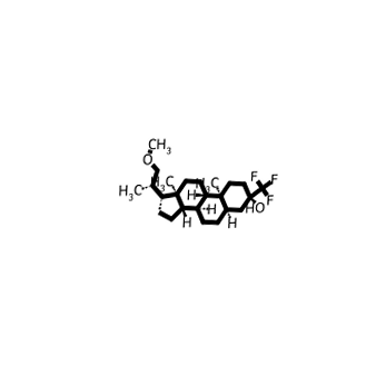 COC[C@@H](C)[C@H]1CC[C@H]2[C@@H]3CC[C@@H]4C[C@@](O)(C(F)(F)F)CC[C@]4(C)[C@H]3CC[C@]12C